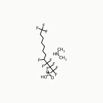 CNC.O=S(=O)(O)C(F)(F)C(F)(F)C(F)(F)C(F)CCCCCCC(F)(F)F